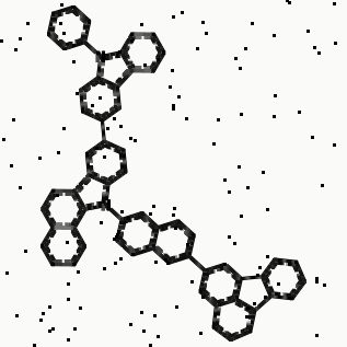 c1ccc(-n2c3ccccc3c3cc(-c4ccc5c(c4)c4ccc6ccccc6c4n5-c4ccc5cc(-c6cc7c8c(cccc8c6)-c6ccccc6-7)ccc5c4)ccc32)cc1